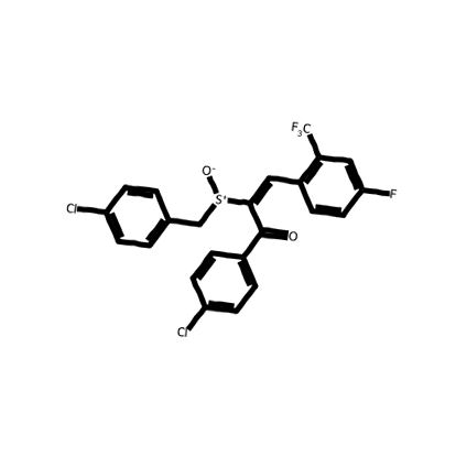 O=C(C(=Cc1ccc(F)cc1C(F)(F)F)[S+]([O-])Cc1ccc(Cl)cc1)c1ccc(Cl)cc1